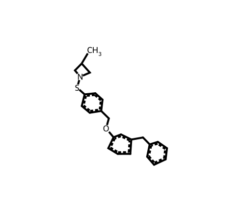 CC1CN(Sc2ccc(COc3cccc(Cc4ccccc4)c3)cc2)C1